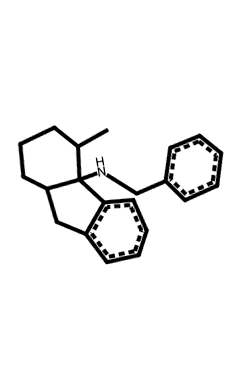 CC1CCCC2Cc3ccccc3C12NCc1ccccc1